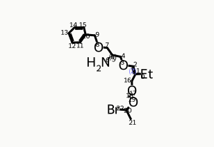 CC/C(=C/OC[C@H](N)COCc1ccccc1)COCOC(C)Br